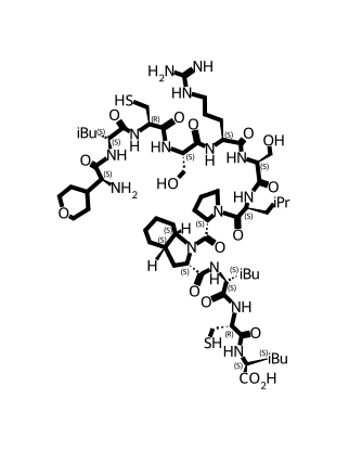 CC[C@H](C)[C@H](NC(=O)[C@H](CS)NC(=O)[C@@H](NC(=O)[C@@H]1C[C@@H]2CCCC[C@@H]2N1C(=O)[C@@H]1CCCN1C(=O)[C@H](CC(C)C)NC(=O)[C@H](CO)NC(=O)[C@H](CCCNC(=N)N)NC(=O)[C@H](CO)NC(=O)[C@H](CS)NC(=O)[C@@H](NC(=O)[C@@H](N)C1CCOCC1)[C@@H](C)CC)[C@@H](C)CC)C(=O)O